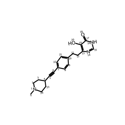 CN1CCC(C#Cc2ccc(CCc3nc[nH]c(=O)c3O)cc2)CC1